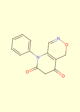 O=C1CC(=O)N(c2ccccc2)C2=C1CON=C2